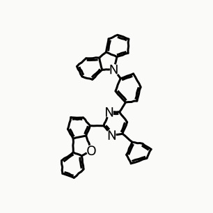 c1ccc(-c2cc(-c3cccc(-n4c5ccccc5c5ccccc54)c3)nc(-c3cccc4c3oc3ccccc34)n2)cc1